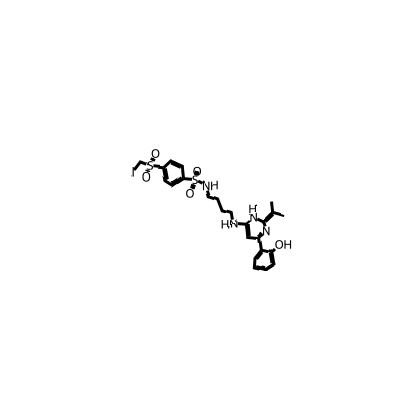 CC(C)=C1N=C(c2ccccc2O)C=C(NCCCCNS(=O)(=O)c2ccc(S(=O)(=O)CI)cc2)N1